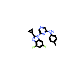 Cc1ccc(Nc2cncc(-n3c(C4CC4)nc4c(F)cc(F)cc43)n2)cc1